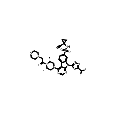 C[C@@H]1CN(c2ncnc3c2c2ccc(S(=O)(=O)NC4(C#N)CC4)cc2n3-c2nnc(C(F)F)s2)C[C@H](C)N1C(=O)CN1CCOCC1